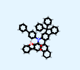 c1ccc(-c2ccc(N(c3cc4c(cc3-c3ccc5c(c3)CCCC5)-c3ccccc3C4(c3ccccc3)c3ccccc3)c3cccc4c3oc3ccccc34)cc2)cc1